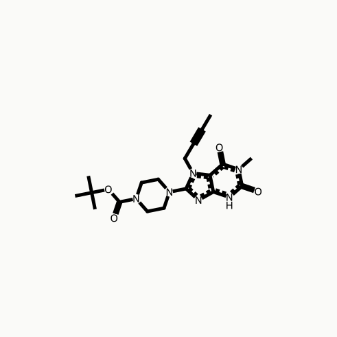 CC#CCn1c(N2CCN(C(=O)OC(C)(C)C)CC2)nc2[nH]c(=O)n(C)c(=O)c21